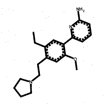 CCc1cc(-c2cccc(N)n2)c(OC)cc1CCN1CCCC1